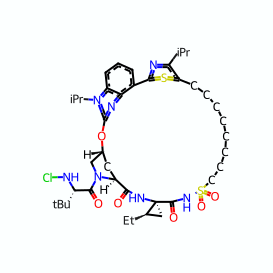 CC[C@@H]1C[C@@]12NC(=O)[C@@H]1C[C@H](CN1C(=O)[C@@H](NCl)C(C)(C)C)Oc1nc3c(cccc3n1C(C)C)-c1nc(C(C)C)c(s1)CCCCCCCCS(=O)(=O)NC2=O